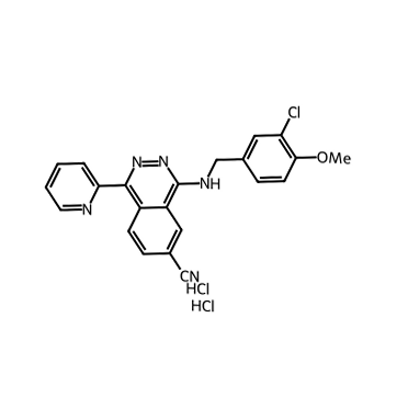 COc1ccc(CNc2nnc(-c3ccccn3)c3ccc(C#N)cc23)cc1Cl.Cl.Cl